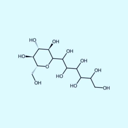 OCC(O)C(O)C(O)C(O)C(O)C1O[C@H](CO)[C@@H](O)[C@H](O)[C@H]1O